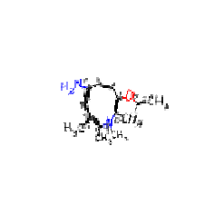 CCOc1ccc(N)cc(C)c(C)n(C)c1C